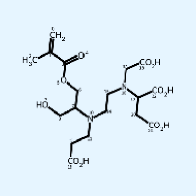 C=C(C)C(=O)OCC(CO)N(CCC(=O)O)CCN(CC(=O)O)C(CC(=O)O)C(=O)O